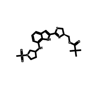 CC(C)(C)C(=O)OC[C@@H]1CSC(c2cc3cccc(NC4CCN(S(C)(=O)=O)C4)c3[nH]2)=N1